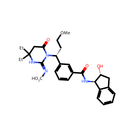 CCC1(CC)CC(=O)N([C@H](CCOC)c2cccc(C(=O)N[C@@H]3c4ccccc4C[C@H]3O)c2)C(=NC(=O)O)N1